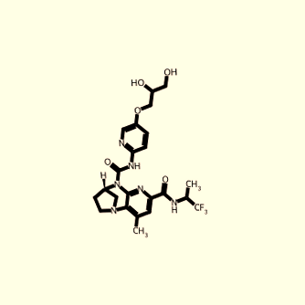 Cc1cc(C(=O)NC(C)C(F)(F)F)nc2c1N1CC[C@@H](C1)N2C(=O)Nc1ccc(OCC(O)CO)cn1